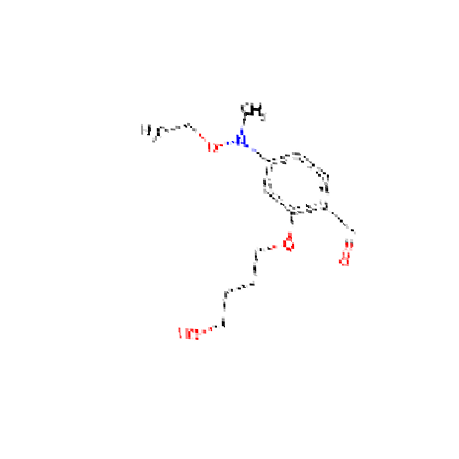 CCON(C)c1ccc(C=O)c(OCCCCO)c1